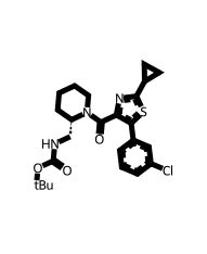 CC(C)(C)OC(=O)NC[C@@H]1CCCCN1C(=O)c1nc(C2CC2)sc1-c1cccc(Cl)c1